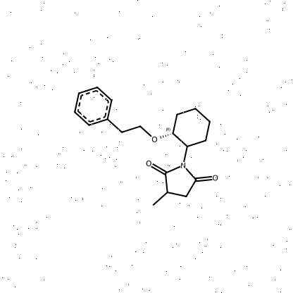 CC1CC(=O)N(C2CCCC[C@H]2OCCc2ccccc2)C1=O